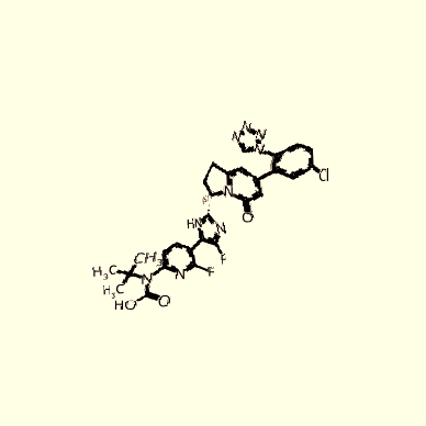 CC(C)(C)N(C(=O)O)c1ccc(-c2[nH]c([C@@H]3CCc4cc(-c5cc(Cl)ccc5-n5cnnn5)cc(=O)n43)nc2F)c(F)n1